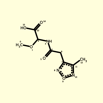 COC(NC(=O)Cc1nonc1C)C(=O)O